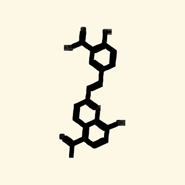 CC(=O)c1ccc(O)c2nc(C=Cc3ccc(O)c(C(=O)O)c3)ccc12